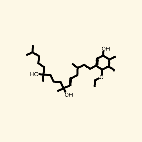 CCOC1C(CCC(C)CCCC(C)(O)CCCC(C)(O)CCCC(C)C)=CC(O)C(C)C1C